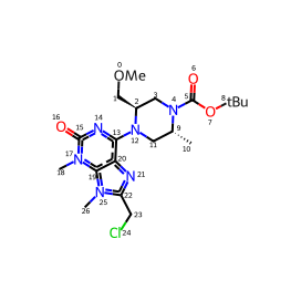 COC[C@H]1CN(C(=O)OC(C)(C)C)[C@H](C)CN1c1nc(=O)n(C)c2c1nc(CCl)n2C